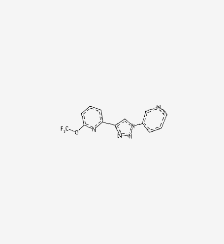 FC(F)(F)Oc1cccc(-c2cn(-c3cccnc3)nn2)n1